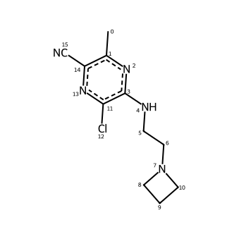 Cc1nc(NCCN2CCC2)c(Cl)nc1C#N